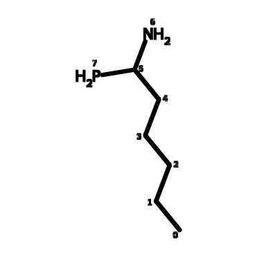 CCCCCC(N)P